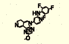 COC1CN2CCN1C1=C2N(c2ccnc(Nc3c(F)cc(F)cc3F)c2)C=C2CC=NC=C21